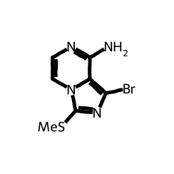 CSc1nc(Br)c2c(N)nccn12